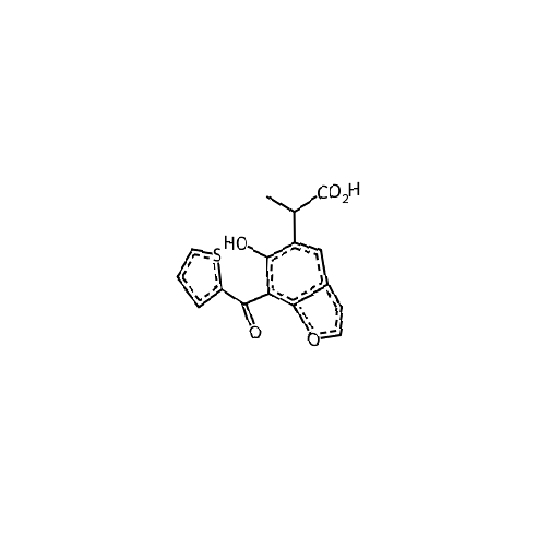 CC(C(=O)O)c1cc2ccoc2c(C(=O)c2cccs2)c1O